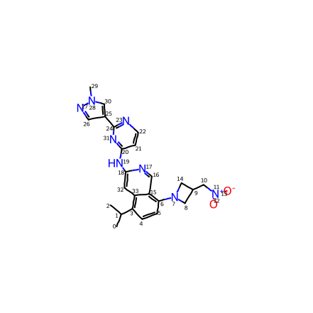 CC(C)c1ccc(N2CC(C[N+](=O)[O-])C2)c2cnc(Nc3ccnc(-c4cnn(C)c4)n3)cc12